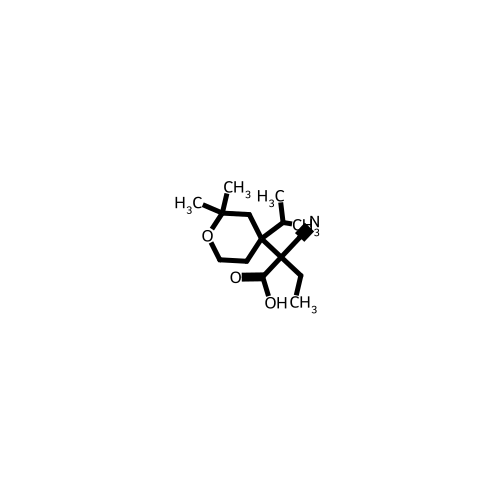 CCC(C#N)(C(=O)O)C1(C(C)C)CCOC(C)(C)C1